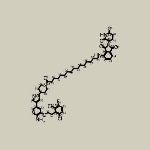 Nc1ncc(-c2cnn(C3CCN(C(=O)CCCCCCCCCCCCCCCNc4cccc5c4C(=O)N([C@@H]4CCC(=O)NC4=O)C5=O)CC3)c2)cc1OCCc1c(Cl)ccc(F)c1Cl